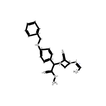 C/C=N\[C@H]1CN(C(C(=O)OC)c2ccc(OCc3ccccc3)cc2)C1=O